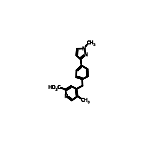 Cc1cnc(C(=O)O)cc1Cc1ccc(-c2ccn(C)n2)cc1